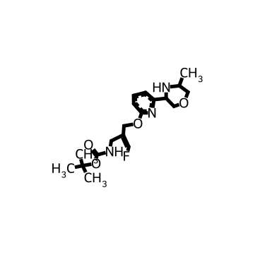 CC1COCC(c2cccc(OCC(=CF)CNC(=O)OC(C)(C)C)n2)N1